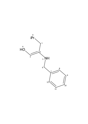 CC(C)CC(=CO)NCc1ccccc1